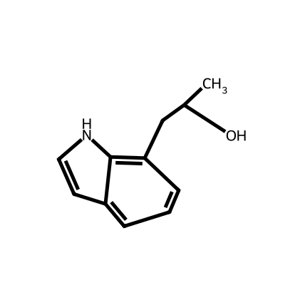 CC(O)Cc1cccc2cc[nH]c12